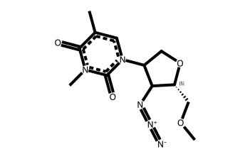 COC[C@H]1OCC(n2cc(C)c(=O)n(C)c2=O)C1N=[N+]=[N-]